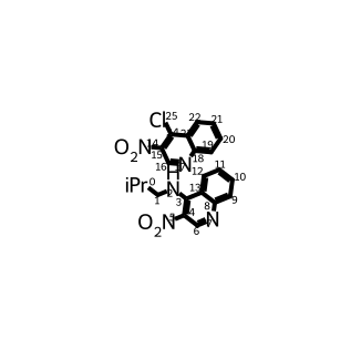 CC(C)CNc1c([N+](=O)[O-])cnc2ccccc12.O=[N+]([O-])c1cnc2ccccc2c1Cl